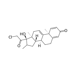 CC1C[C@H]2[C@@H]3CCC4=CC(=O)C=C[C@]4(C)C3=CC[C@]2(C)[C@@]1(O)C(=O)CCl